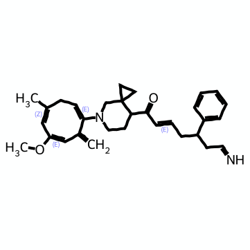 C=C1/C=C(OC)\C=C(\C)C/C=C\1N1CCC(C(=O)/C=C/CC(CC=N)c2ccccc2)C2(CC2)C1